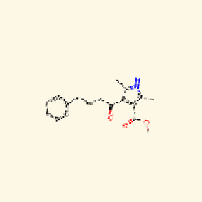 COC(=O)c1c(C)[nH]c(C)c1C(=O)CCCc1ccccc1